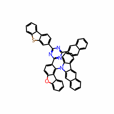 c1ccc2cc(-c3nc(-c4ccc5c(c4)sc4ccccc45)nc(-c4ccc5oc6ccccc6c5c4-n4c5ccccc5c5cc6ccccc6cc54)n3)ccc2c1